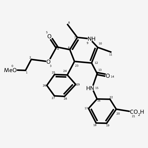 COCCOC(=O)C1=C(C)NC(C)=C(C(=O)NC2C=CC=C(C(=O)O)C2)C1C1=CCCC=C1